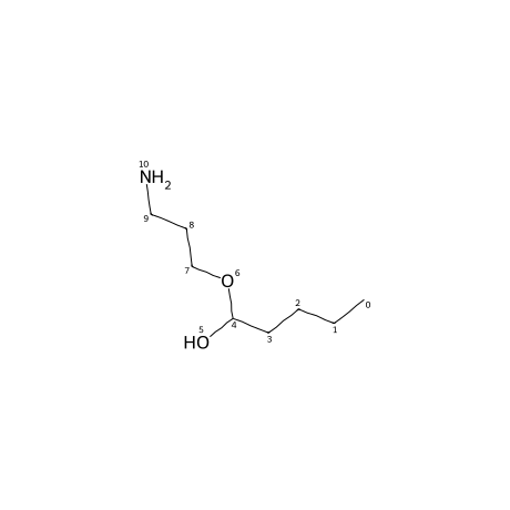 CCCCC(O)OCCCN